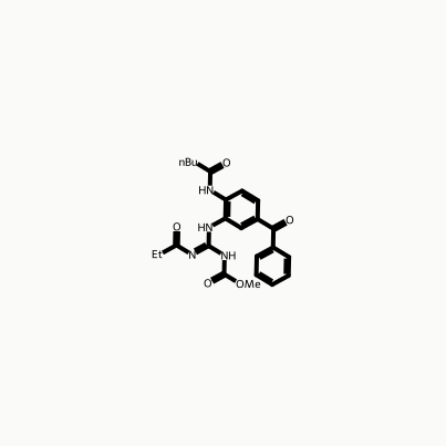 CCCCC(=O)Nc1ccc(C(=O)c2ccccc2)cc1NC(=NC(=O)CC)NC(=O)OC